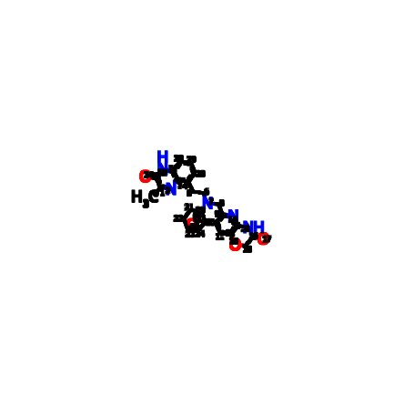 Cc1nc2c(CCN(Cc3ccc4c(n3)NC(=O)CO4)C34CCC(CC3)OC4)cccc2[nH]c1=O